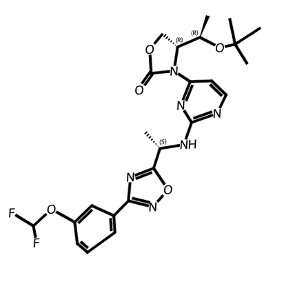 C[C@H](Nc1nccc(N2C(=O)OC[C@@H]2[C@@H](C)OC(C)(C)C)n1)c1nc(-c2cccc(OC(F)F)c2)no1